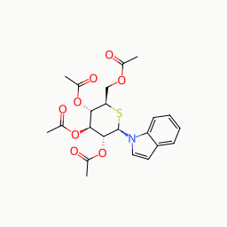 CC(=O)OC[C@H]1S[C@@H](n2ccc3ccccc32)[C@H](OC(C)=O)[C@@H](OC(C)=O)[C@@H]1OC(C)=O